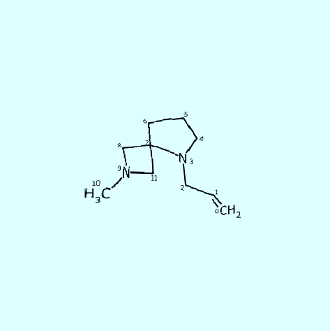 C=CCN1CCCC12CN(C)C2